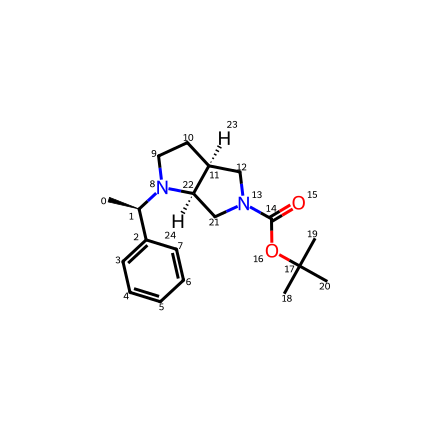 C[C@H](c1ccccc1)N1CC[C@H]2CN(C(=O)OC(C)(C)C)C[C@H]21